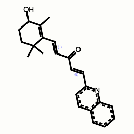 CC1=C(/C=C/C(=O)/C=C/c2ccc3ccccc3n2)C(C)(C)CCC1O